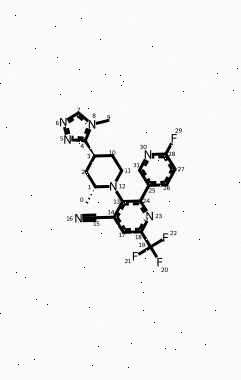 C[C@@H]1C[C@@H](c2nncn2C)CCN1c1c(C#N)cc(C(F)(F)F)nc1-c1ccc(F)nc1